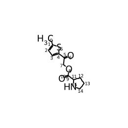 Cc1ccc(C(=O)COC(=O)C2CCCN2)s1